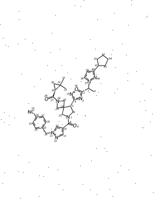 CC(c1nc(C2CN(C(=O)c3cnn(Cc4ccc(C#N)cc4)c3)CC23CN(C(=O)[C@H]2CC2(C)C)C3)no1)n1ccc(C2CCCC2)n1